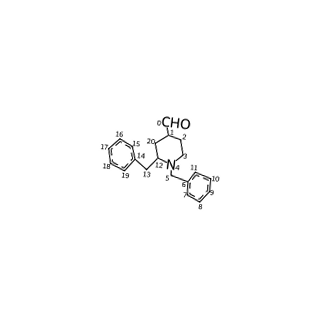 O=CC1CCN(Cc2ccccc2)C(Cc2ccccc2)C1